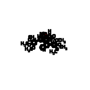 COc1cc(-c2cc(OC(C)C3(C(C)Oc4cc(-c5cc(OC)c(OC)c(OC)c5)cc5ncccc45)NC(=O)NC3=O)c3cccnc3c2)cc(OC)c1OC